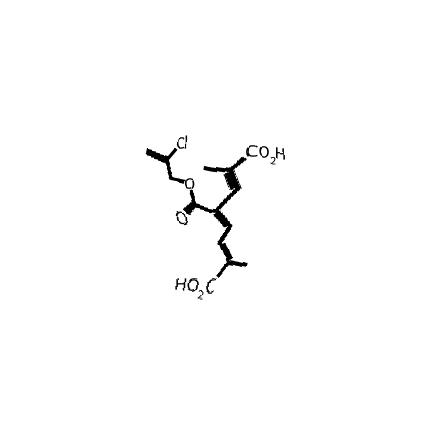 C=C(Cl)COC(=O)C(C=C(C)C(=O)O)=CC=C(C)C(=O)O